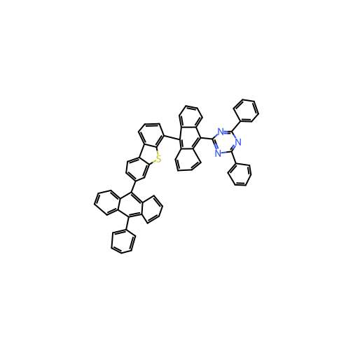 c1ccc(-c2nc(-c3ccccc3)nc(-c3c4ccccc4c(-c4cccc5c4sc4cc(-c6c7ccccc7c(-c7ccccc7)c7ccccc67)ccc45)c4ccccc34)n2)cc1